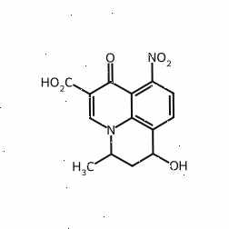 CC1CC(O)c2ccc([N+](=O)[O-])c3c(=O)c(C(=O)O)cn1c23